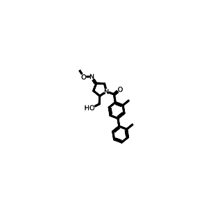 CO/N=C1\CC(CO)N(C(=O)c2ccc(-c3ccccc3C)cc2C)C1